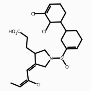 C/C=C(Cl)\C=C1/CN([S+]([O-])C2=CCCC(C3CCC=C(Cl)C3Cl)C2)CC1CCC(=O)O